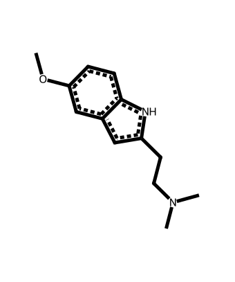 COc1ccc2[nH]c(CCN(C)C)cc2c1